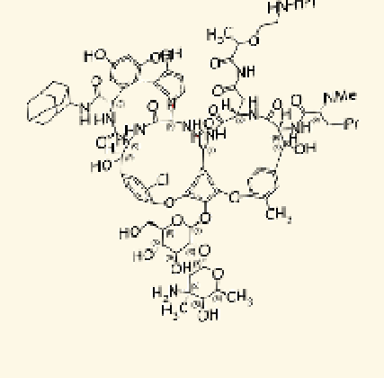 CCCNCCOC(C)C(=O)NC(=O)C[C@@H]1NC(=O)[C@H](NC(=O)[C@@H](CC(C)C)NC)[C@H](O)c2ccc(c(C)c2)Oc2cc3cc(c2O[C@@H]2O[C@H](CO)[C@@H](O)[C@H](O)[C@H]2O[C@H]2C[C@](C)(N)[C@H](O)[C@H](C)O2)Oc2ccc(cc2Cl)[C@@H](O)[C@@H]2NC(=O)[C@H](NC(=O)[C@@H]3NC1=O)c1ccc(O)c(c1)-c1c(O)cc(O)cc1[C@@H](C(=O)NC1C3CC4CC(C3)CC1C4)NC2=O